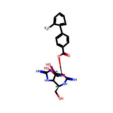 N=C1NC2[C@H](CO)NC(=N)N3C[C@H](OC(=O)c4ccc(-c5ccccc5C(F)(F)F)cc4)C(O)(O)[C@]23N1